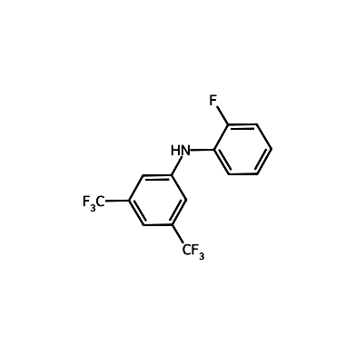 Fc1ccccc1Nc1cc(C(F)(F)F)cc(C(F)(F)F)c1